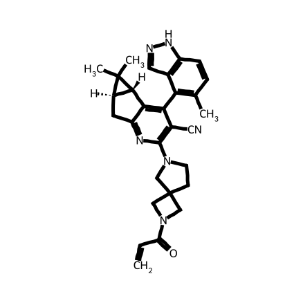 C=CC(=O)N1CC2(CCN(c3nc4c(c(-c5c(C)ccc6[nH]ncc56)c3C#N)[C@@H]3[C@@H](C4)C3(C)C)C2)C1